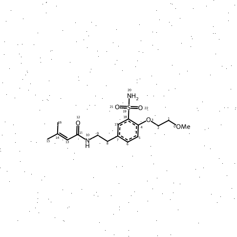 COCCOc1ccc(CCNC(=O)C=C(C)C)cc1S(N)(=O)=O